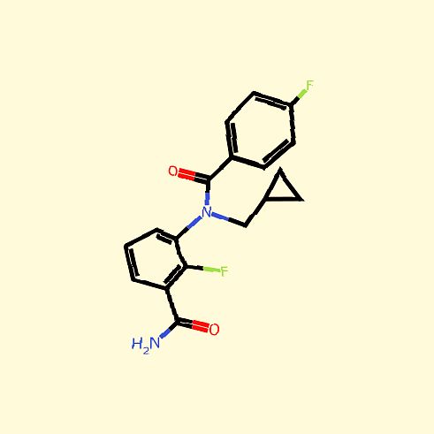 NC(=O)c1cccc(N(CC2CC2)C(=O)c2ccc(F)cc2)c1F